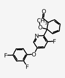 COC1(c2ncc(Oc3ccc(F)cc3F)cc2F)C=CC=CC1C=O